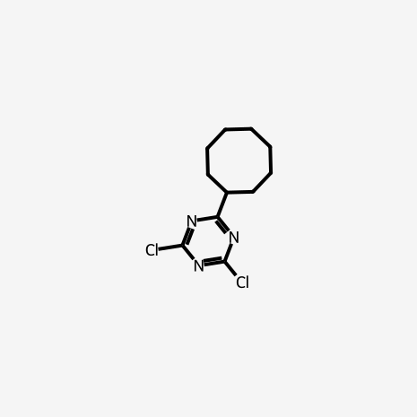 Clc1nc(Cl)nc(C2CCCCCCC2)n1